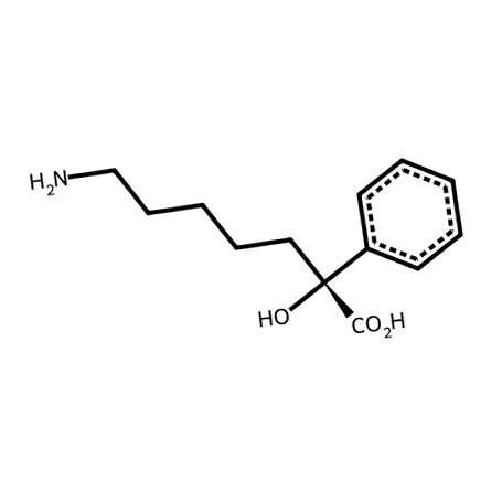 NCCCCC[C@](O)(C(=O)O)c1ccccc1